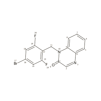 O=c1cnc2ccccc2n1Cc1c(F)cc(Br)cc1F